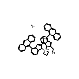 CC(C)CC1=Cc2c(-c3c4ccccc4cc4ccccc34)cccc2[CH]1[Hf+2]1([CH]2C(CC(C)C)=Cc3c(-c4c5ccccc5cc5ccccc45)cccc32)[CH2]C[CH2]1.[Cl-].[Cl-]